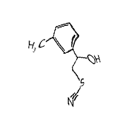 Cc1cccc(C(O)CSC#N)c1